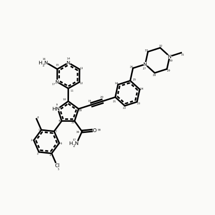 Cc1ccc(Cl)cc1-c1[nH]c(-c2ccnc(N)n2)c(C#Cc2cccc(CN3CCN(C)CC3)c2)c1C(N)=O